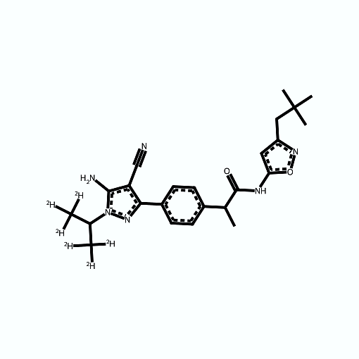 [2H]C([2H])([2H])C(n1nc(-c2ccc(C(C)C(=O)Nc3cc(CC(C)(C)C)no3)cc2)c(C#N)c1N)C([2H])([2H])[2H]